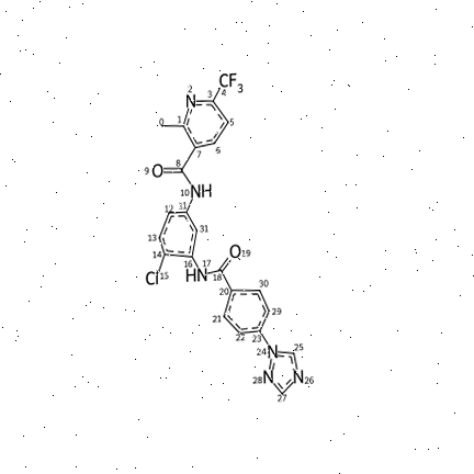 Cc1nc(C(F)(F)F)ccc1C(=O)Nc1ccc(Cl)c(NC(=O)c2ccc(-n3cncn3)cc2)c1